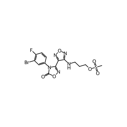 CS(=O)(=O)OCCCNc1nonc1-c1noc(=O)n1-c1ccc(F)c(Br)c1